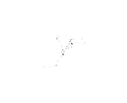 CCCCCCCC[C@H]1O[C@H]1CCCCCCCC(=O)NCC(CCNCCCN(C(=O)CCCCCCC)[C@H]1O[C@@H]1CCCCCCCC)C(=O)CCCCCCC[C@@H]1O[C@@H]1CCCCCCCC